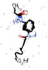 C=CC(=O)Nc1cccc(NC(=O)CCCCC(=O)O)c1